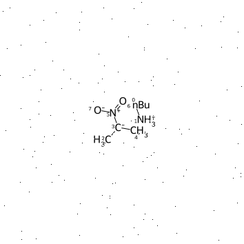 CCCC[NH3+].C[C-](C)[N+](=O)[O-]